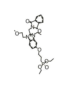 CCOP(=O)(CCCOc1ccc2c(c1)n(CC)c(CN1C(=O)c3ccccc3C1=O)[n+]2CCOC)OCC